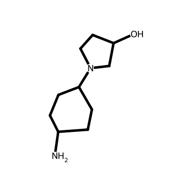 NC1CCC(N2CCC(O)C2)CC1